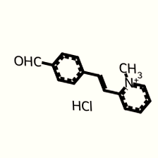 C[n+]1ccccc1/C=C/c1ccc(C=O)cc1.Cl